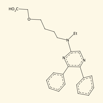 CCN(CCCCOCC(=O)O)c1cnc(-c2ccccc2)c(-c2ccccc2)n1